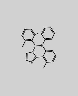 Cc1cccc(C)c1B1N(c2ccccc2)c2cccc(C)c2-c2nccn21